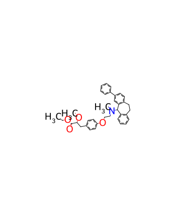 CCOC(=O)C(Cc1ccc(OCCN(C)C2c3ccccc3CCc3ccc(-c4ccccc4)cc32)cc1)OC